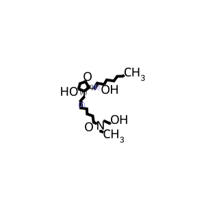 CCCCCC(O)/C=C/[C@H]1C(=O)CC(O)[C@@H]1C/C=C\CCCC(=O)N(CC)CCO